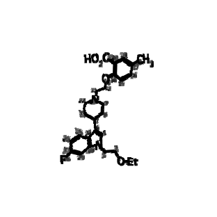 CCOCCn1cc(C2CCN(CCOc3ccc(C)cc3C(=O)O)CC2)c2ccc(F)cc21